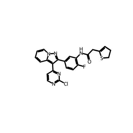 O=C(CC1=CCCS1)Nc1cc(-c2nn3ccccc3c2-c2ccnc(Cl)n2)ccc1F